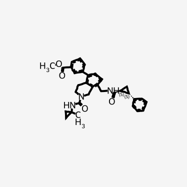 COC(=O)c1cccc(-c2ccc(CNC(=O)[C@H]3C[C@@H]3c3ccccc3)c3c2CCN(C(=O)NC2(C)CC2)C3)c1